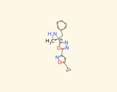 C[C@@](N)(Cc1ccccc1)c1nnc(-c2cc(C3CC3)on2)o1